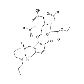 CCCN1CCC[C@@H]2Cc3c(ccc(O)c3O[C@@H]3O[C@H](C(=O)OCC)[C@@H](CC(=O)O)[C@H](CC(=O)O)[C@H]3CC(=O)O)C[C@H]21